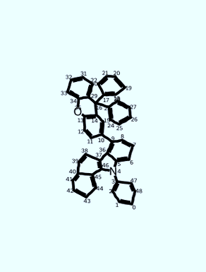 c1ccc(-n2c3cccc(-c4ccc5c(c4)C(c4ccccc4)(c4ccccc4)c4ccccc4O5)c3c3ccc4ccccc4c32)cc1